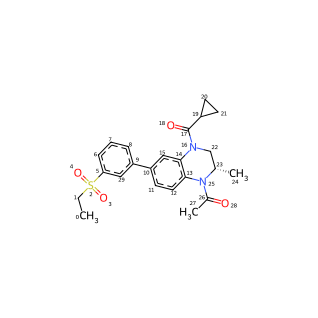 CCS(=O)(=O)c1cccc(-c2ccc3c(c2)N(C(=O)C2CC2)C[C@H](C)N3C(C)=O)c1